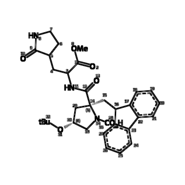 COC(=O)C(CC1CCNC1=O)NC(=O)[C@]1(CC2c3ccccc3-c3ccccc32)C[C@@H](OC(C)(C)C)CN1C(=O)O